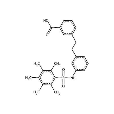 Cc1c(C)c(C)c(S(=O)(=O)Nc2cccc(CCc3cccc(C(=O)O)c3)c2)c(C)c1C